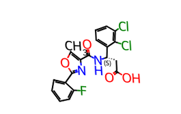 Cc1oc(-c2ccccc2F)nc1C(=O)N[C@@H](CC(=O)O)c1cccc(Cl)c1Cl